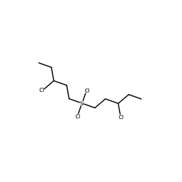 CCC(Cl)CC[Si](Cl)(Cl)CCC(Cl)CC